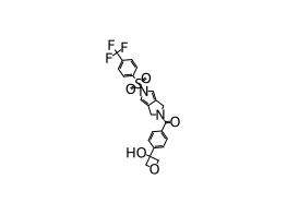 O=C(c1ccc(C2(O)COC2)cc1)N1Cc2cn(S(=O)(=O)c3ccc(C(F)(F)F)cc3)cc2C1